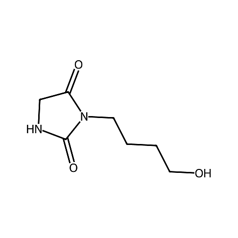 O=C1CNC(=O)N1CCCCO